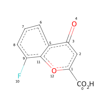 O=C(O)c1cc(=O)c2cccc(F)c2o1